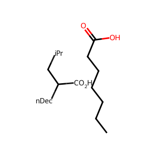 CCCCCCC(=O)O.CCCCCCCCCCC(CC(C)C)C(=O)O